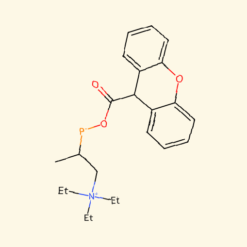 CC[N+](CC)(CC)CC(C)[P-]OC(=O)C1c2ccccc2Oc2ccccc21